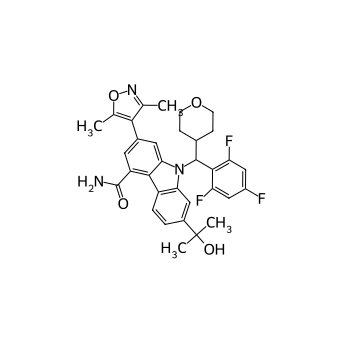 Cc1noc(C)c1-c1cc(C(N)=O)c2c3ccc(C(C)(C)O)cc3n(C(c3c(F)cc(F)cc3F)C3CCOCC3)c2c1